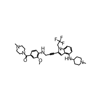 COc1cc(C(=O)N2CCN(C)CC2)ccc1NCC#Cc1cc2c(NC3CCN(C)CC3)cccc2n1CC(F)(F)F